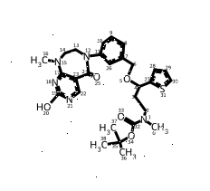 CN(CCC(OCc1cccc(N2CCN(C)c3nc(O)ncc3C2=O)c1)c1cccs1)C(=O)OC(C)(C)C